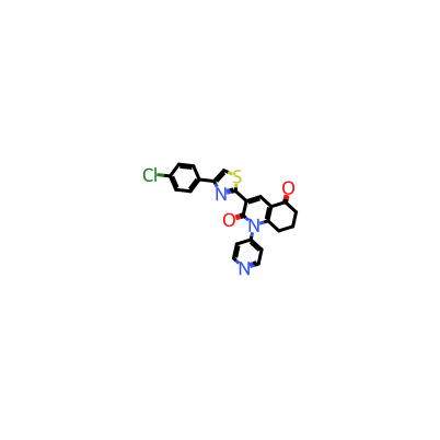 O=C1CCCc2c1cc(-c1nc(-c3ccc(Cl)cc3)cs1)c(=O)n2-c1ccncc1